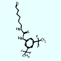 CC(F)(F)c1cc(NC(=S)NCCCCCC=O)cc(C(C)(F)F)c1